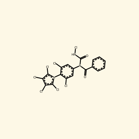 O=C(NCl)N(C(=O)c1ccccc1)c1cc(Cl)c(-n2c(Cl)c(Cl)c(Cl)c2Cl)c(Cl)c1